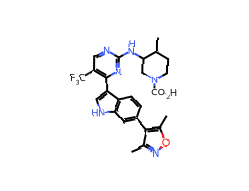 Cc1noc(C)c1-c1ccc2c(-c3nc(NC4CN(C(=O)O)CCC4C)ncc3C(F)(F)F)c[nH]c2c1